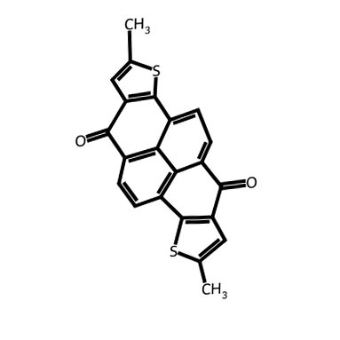 Cc1cc2c(s1)-c1ccc3c4c(ccc(c14)C2=O)-c1sc(C)cc1C3=O